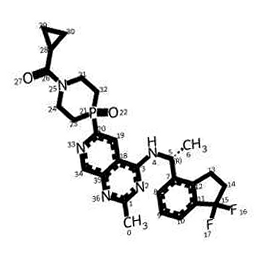 Cc1nc(N[C@H](C)c2cccc3c2CCC3(F)F)c2cc(P3(=O)CCN(C(=O)C4CC4)CC3)ncc2n1